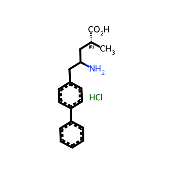 C[C@H](CC(N)Cc1ccc(-c2ccccc2)cc1)C(=O)O.Cl